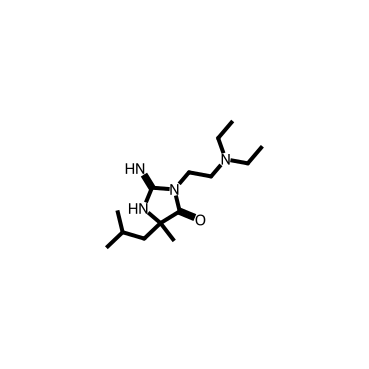 CCN(CC)CCN1C(=N)NC(C)(CC(C)C)C1=O